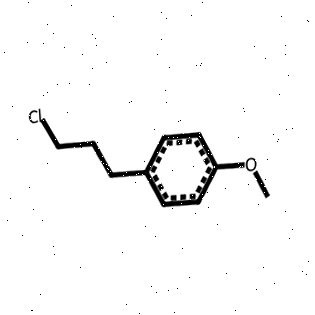 COc1ccc(CCCCl)cc1